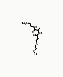 CCOCCOCCC(=O)NC(C)C(=O)NCCC(=O)O